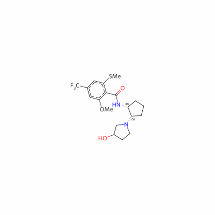 COc1cc(C(F)(F)F)cc(SC)c1C(=O)N[C@@H]1CCC[C@@H]1N1CCC(O)C1